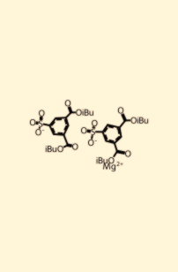 CC(C)COC(=O)c1cc(C(=O)OCC(C)C)cc(S(=O)(=O)[O-])c1.CC(C)COC(=O)c1cc(C(=O)OCC(C)C)cc(S(=O)(=O)[O-])c1.[Mg+2]